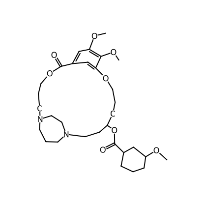 COc1cc2cc(c1OC)OCCCC(OC(=O)C1CCCC(OC)C1)CCN1CCCN(CCCOC2=O)CC1